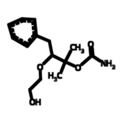 CC(C)(OC(N)=O)C(Cc1ccccc1)OCCO